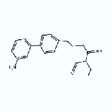 CCN(C=O)C(=N)CCCc1ccc(-c2cccc(N)c2)cc1